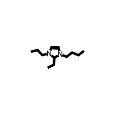 CCCCN1C=CN(CCC)C1CC